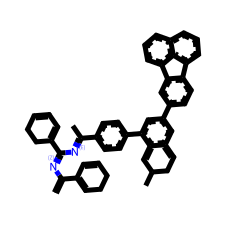 C=C(/N=C(\N=C(/C)c1ccc(-c2cc(-c3ccc4c(c3)-c3cccc5cccc-4c35)cc3c2=CC(C)CC=3)cc1)C1=CC=CCC1)C1=CCCC=C1